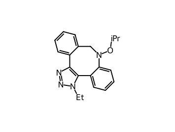 CCn1nnc2c1-c1ccccc1N(OC(C)C)Cc1ccccc1-2